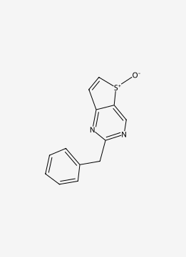 [O-][s+]1ccc2nc(Cc3ccccc3)ncc21